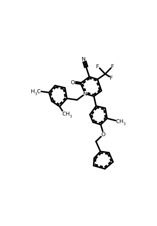 Cc1ccc(Cn2c(-c3ccc(OCc4ccccc4)c(C)c3)cc(C(F)(F)F)c(C#N)c2=O)c(C)c1